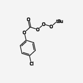 CC(C)(C)OOOC(=O)Oc1ccc(Cl)cc1